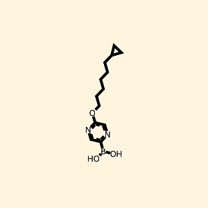 OB(O)c1cnc(OCCCCCCC2CC2)cn1